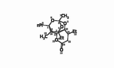 CCCC12CC3(CC)OC(C)(O1)OC31C(CC)CC(=O)OC1C2C